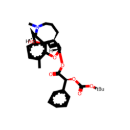 Cc1ccc2c3c1O[C@H]1C(OC(=O)[C@@H](OC(=O)OC(C)(C)C)c4ccccc4)=CC[C@@]4(O)[C@@H](C2)N(C)CCC[C@]314